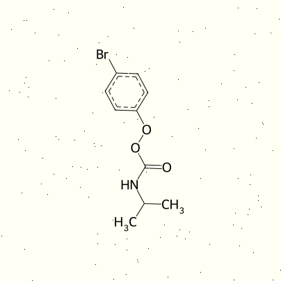 CC(C)NC(=O)OOc1ccc(Br)cc1